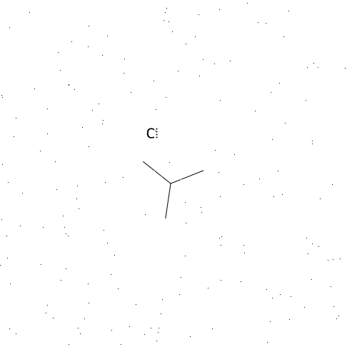 CC(C)C.[C]